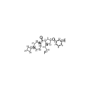 O=C(C1CC(Oc2cccc(F)c2)CN1CCF)N1CCCN(C2CCC2)CC1